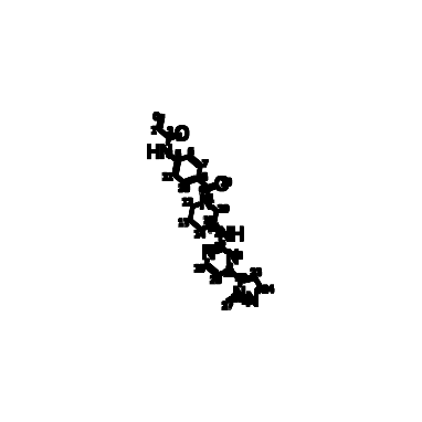 C=CC(=O)Nc1ccc(C(=O)N2CCC[C@@H](Nc3nccc(-c4ccnn4C)n3)C2)cc1